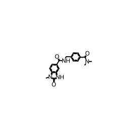 CN(C)C(=O)c1ccc(CNC(=O)c2ccc3c(c2)[nH]c(=O)n3C)cc1